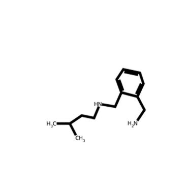 CC(C)CCNCc1ccccc1CN